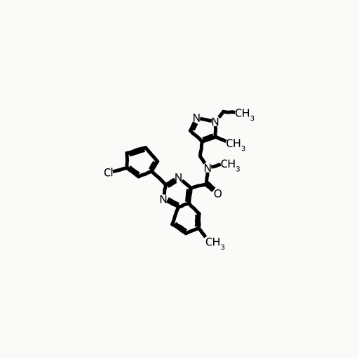 CCn1ncc(CN(C)C(=O)c2nc(-c3cccc(Cl)c3)nc3ccc(C)cc23)c1C